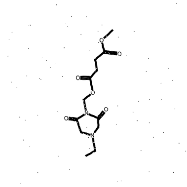 CCN1CC(=O)N(COC(=O)CCC(=O)OC)C(=O)C1